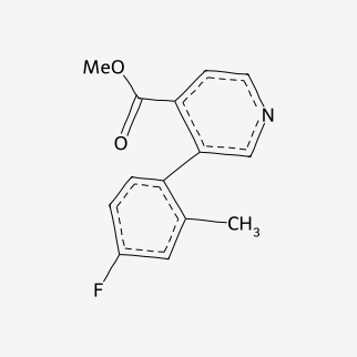 COC(=O)c1ccncc1-c1ccc(F)cc1C